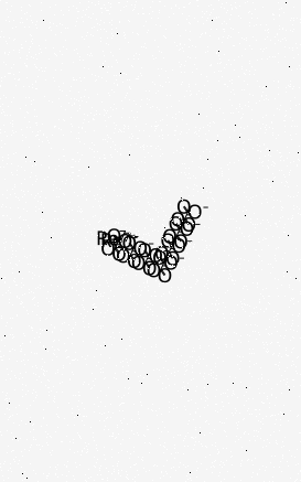 O=C([O-])C(=O)[O-].O=C([O-])C(=O)[O-].O=C([O-])C(=O)[O-].O=C([O-])C(=O)[O-].O=C([O-])C(=O)[O-].O=C([O-])C(=O)[O-].O=C([O-])C(=O)[O-].[Re+7].[Re+7]